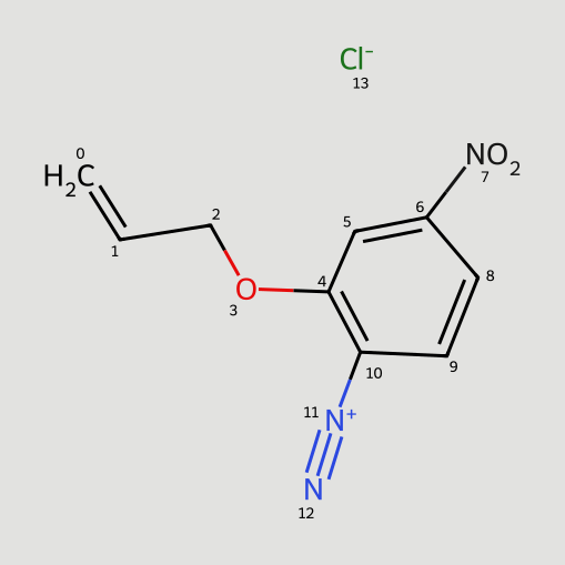 C=CCOc1cc([N+](=O)[O-])ccc1[N+]#N.[Cl-]